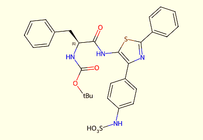 CC(C)(C)OC(=O)N[C@@H](Cc1ccccc1)C(=O)Nc1sc(-c2ccccc2)nc1-c1ccc(NS(=O)(=O)O)cc1